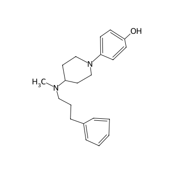 CN(CCCc1ccccc1)C1CCN(c2ccc(O)cc2)CC1